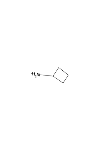 [SiH2]C1CCC1